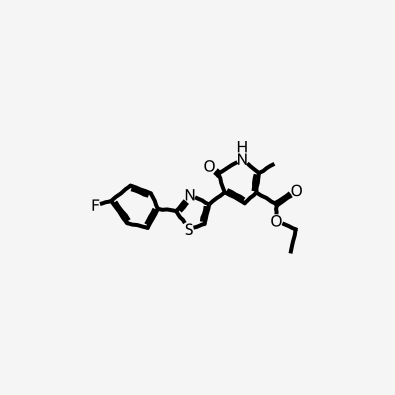 CCOC(=O)c1cc(-c2csc(-c3ccc(F)cc3)n2)c(=O)[nH]c1C